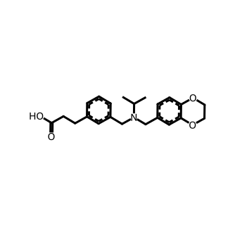 CC(C)N(Cc1cccc(CCC(=O)O)c1)Cc1ccc2c(c1)OCCO2